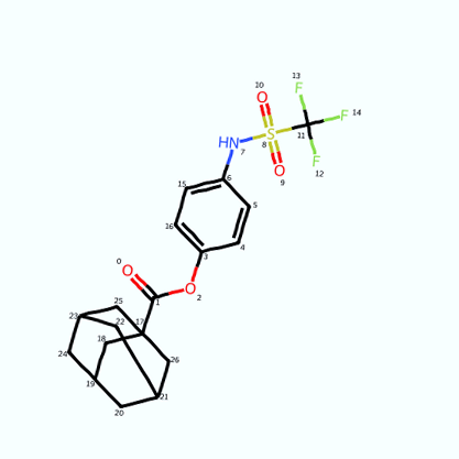 O=C(Oc1ccc(NS(=O)(=O)C(F)(F)F)cc1)C12CC3CC(CC(C3)C1)C2